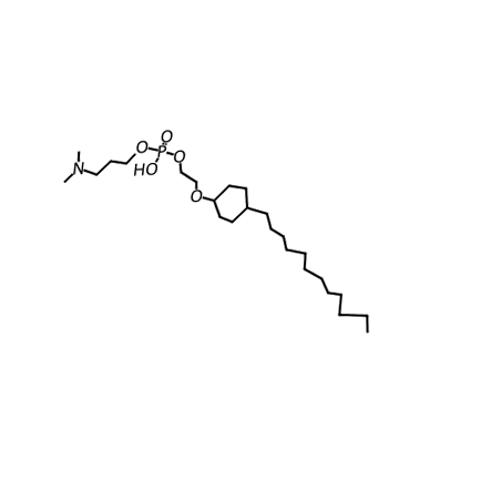 CCCCCCCCCCCCC1CCC(OCCOP(=O)(O)OCCCN(C)C)CC1